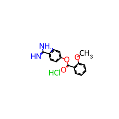 COc1ccccc1C(=O)Oc1ccc(C(=N)N)cc1.Cl